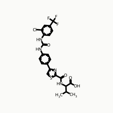 CC(C)C(NC(=O)c1nc(-c2ccc(NC(=O)Nc3ccc(C(F)(F)F)cc3Cl)cc2)cs1)C(=O)O